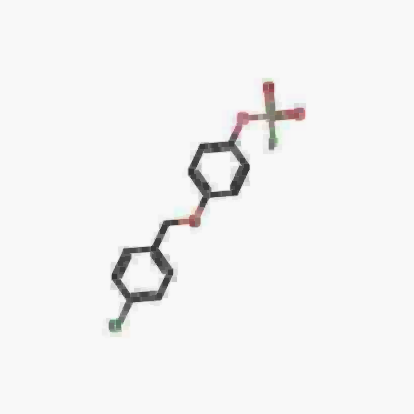 O=S(=O)(F)Oc1ccc(OCc2ccc(Cl)cc2)cc1